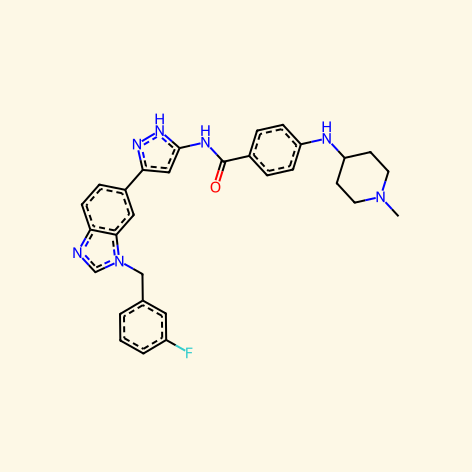 CN1CCC(Nc2ccc(C(=O)Nc3cc(-c4ccc5ncn(Cc6cccc(F)c6)c5c4)n[nH]3)cc2)CC1